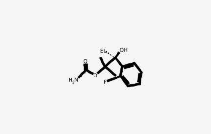 CC[C@](O)(c1ccccc1F)C(C)(C)OC(N)=O